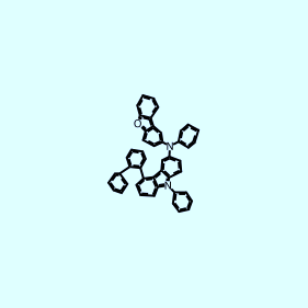 c1ccc(-c2ccccc2-c2cccc3c2c2cc(N(c4ccccc4)c4ccc5oc6ccccc6c5c4)ccc2n3-c2ccccc2)cc1